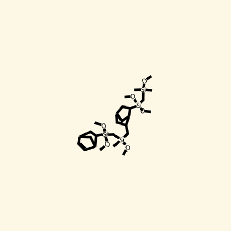 CO[Si](C)(C)C[Si](OC)(OC)C1CC2CC(C[Si](C)(C[Si](OC)(OC)C3CC4C=CC3C4)OC)C1C2